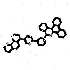 c1cc(-c2ccc(-c3ccnc4c3ccc3cccnc34)cn2)cc(-c2nc3c4ccccc4c4ccccc4c3c3ccccc23)c1